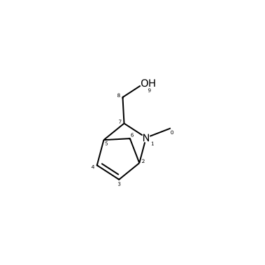 CN1C2C=CC(C2)C1CO